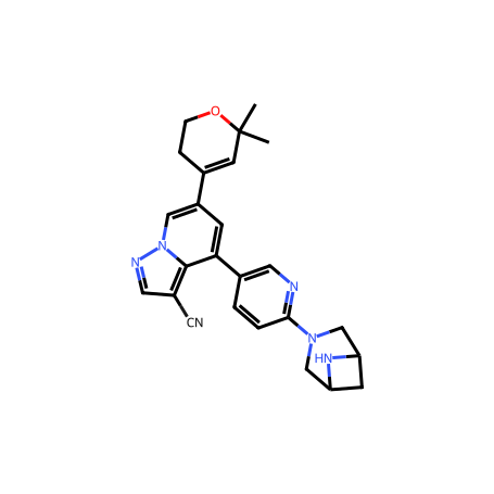 CC1(C)C=C(c2cc(-c3ccc(N4CC5CC(C4)N5)nc3)c3c(C#N)cnn3c2)CCO1